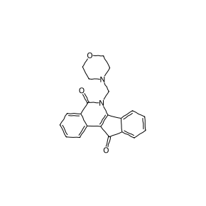 O=C1c2ccccc2-c2c1c1ccccc1c(=O)n2CN1CCOCC1